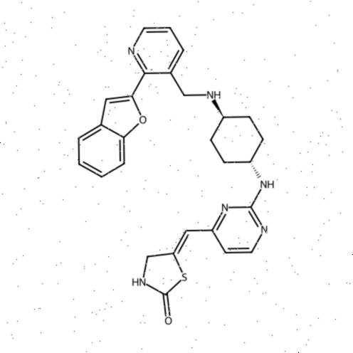 O=C1NC/C(=C/c2ccnc(N[C@H]3CC[C@H](NCc4cccnc4-c4cc5ccccc5o4)CC3)n2)S1